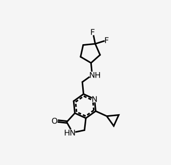 O=C1NCc2c1cc(CNC1CCC(F)(F)C1)nc2C1CC1